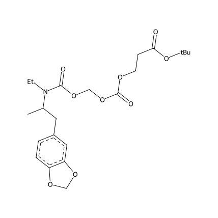 CCN(C(=O)OCOC(=O)OCCC(=O)OC(C)(C)C)C(C)Cc1ccc2c(c1)OCO2